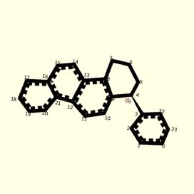 c1ccc([C@@H]2CCCc3c2ccc2c3ccc3ccccc32)cc1